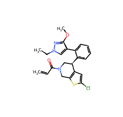 C=CC(=O)N1Cc2sc(Cl)cc2[C@H](c2ccccc2-c2cn(CC)nc2OC)C1